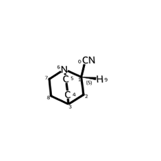 N#C[C@@H]1CC2CCN1CC2